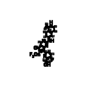 CC(C)(O)c1nc(-n2c3nc(Nc4ccc5c(c4)CCNC54CC4)ncc3c(=O)n2CC(F)(F)F)ccc1F